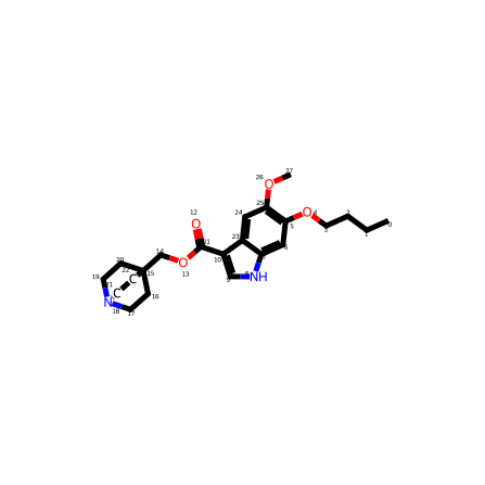 CCCCOc1cc2[nH]cc(C(=O)OCC34CCN(CC3)CC4)c2cc1OC